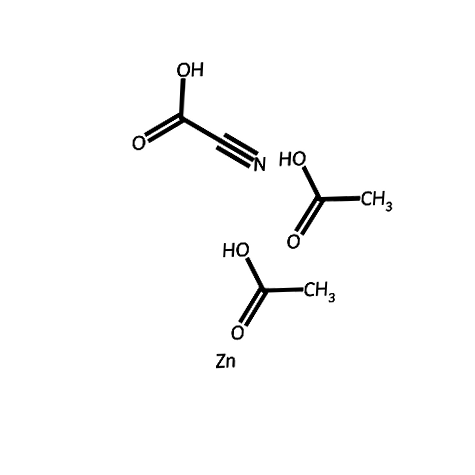 CC(=O)O.CC(=O)O.N#CC(=O)O.[Zn]